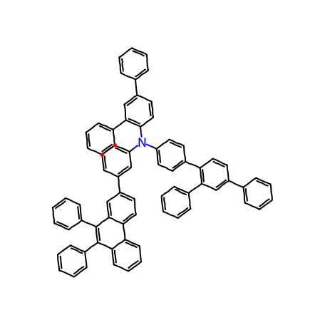 c1ccc(-c2ccc(-c3ccc(N(c4cccc(-c5ccc6c(c5)c(-c5ccccc5)c(-c5ccccc5)c5ccccc56)c4)c4ccc(-c5ccccc5)cc4-c4ccccc4)cc3)c(-c3ccccc3)c2)cc1